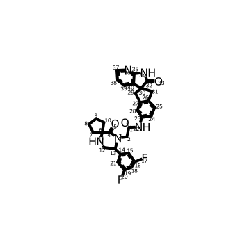 O=C(CN1C(=O)C2(CCCC2)NCC1c1cc(F)cc(F)c1)Nc1ccc2c(c1)CC1(C2)C(=O)Nc2ncccc21